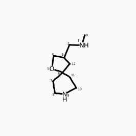 CNCC1COC2(CCNCC2)C1